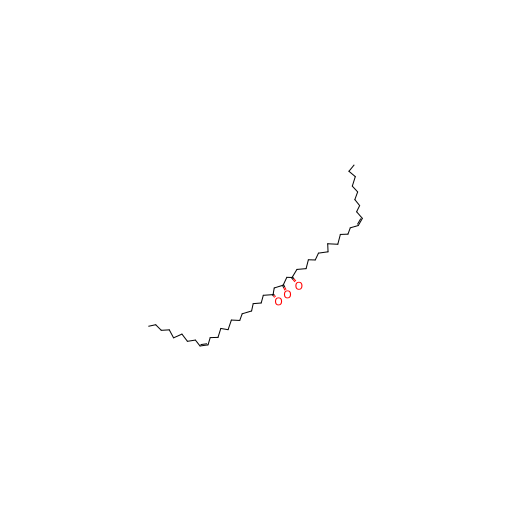 CCCCCCCC/C=C\CCCCCCCCCCCC(=O)CC(=O)CC(=O)CCCCCCCCCCC/C=C\CCCCCCCC